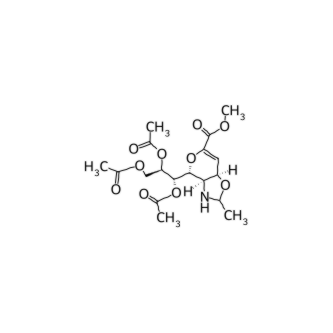 COC(=O)C1=C[C@H]2OC(C)N[C@H]2[C@H]([C@H](OC(C)=O)[C@@H](COC(C)=O)OC(C)=O)O1